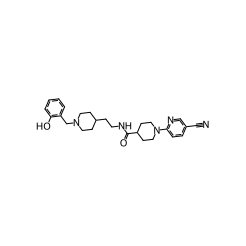 N#Cc1ccc(N2CCC(C(=O)NCCC3CCN(Cc4ccccc4O)CC3)CC2)nc1